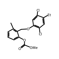 CCc1cc(Cl)c(OCc2c(C)cccc2OC(=O)OC)cc1Cl